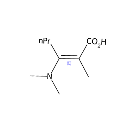 CCC/C(=C(/C)C(=O)O)N(C)C